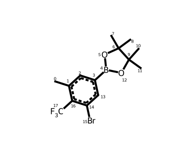 Cc1cc(B2OC(C)(C)C(C)(C)O2)cc(Br)c1C(F)(F)F